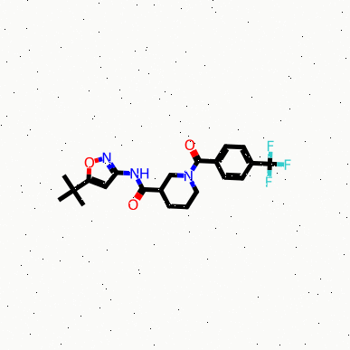 CC(C)(C)c1cc(NC(=O)C2CCCN(C(=O)c3ccc(C(F)(F)F)cc3)C2)no1